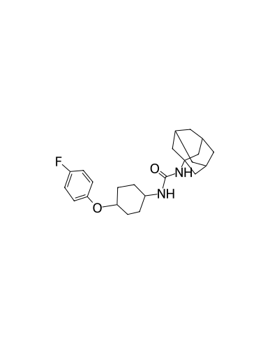 O=C(NC1CCC(Oc2ccc(F)cc2)CC1)NC12CC3CC(CC(C3)C1)C2